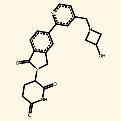 O=C1CCC(N2Cc3cc(-c4cc(CN5CC(O)C5)ccn4)ccc3C2=O)C(=O)N1